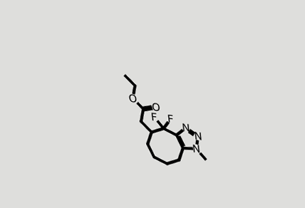 CCOC(=O)CC1CCCCc2c(nnn2C)C1(F)F